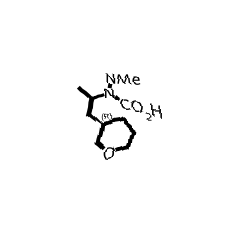 CNN(C(=O)O)C(C)C[C@H]1CCCOC1